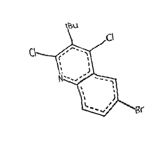 CC(C)(C)c1c(Cl)nc2ccc(Br)cc2c1Cl